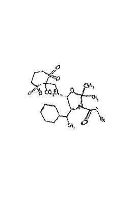 CCOC(=O)C1(CC[C@@H]2OC(C)(C)N(C(=O)OC(C)(C)C)[C@H]2C(C)C2CCCCC2)S(=O)(=O)CCCS1(=O)=O